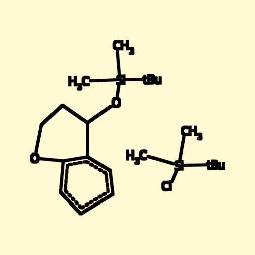 CC(C)(C)[Si](C)(C)Cl.CC(C)(C)[Si](C)(C)OC1CCOc2ccccc21